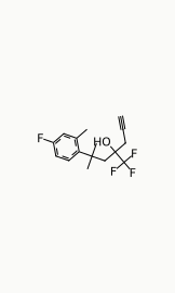 C#CCC(O)(CC(C)(C)c1ccc(F)cc1C)C(F)(F)F